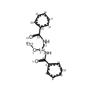 CC[O][Lu]([NH]C(=O)c1ccccc1)[NH]C(=O)c1ccccc1